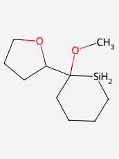 COC1(C2CCCO2)CCCC[SiH2]1